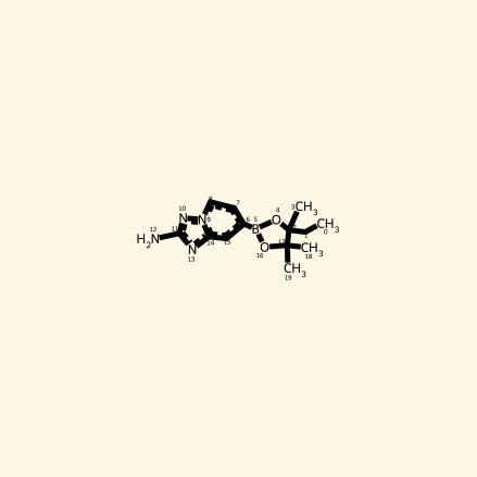 CCC1(C)OB(c2ccn3nc(N)nc3c2)OC1(C)C